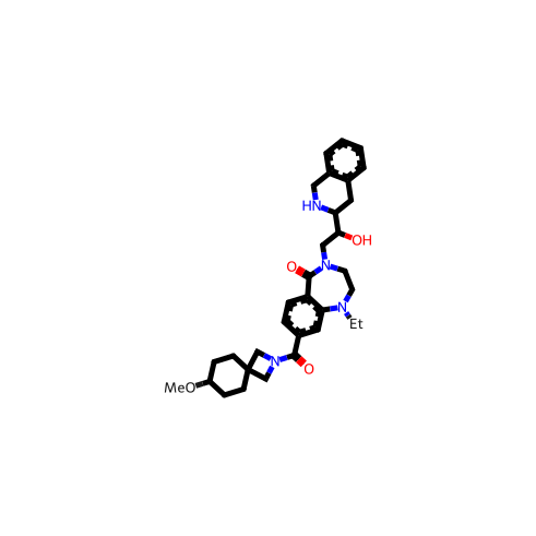 CCN1CCN(CC(O)C2Cc3ccccc3CN2)C(=O)c2ccc(C(=O)N3CC4(CCC(OC)CC4)C3)cc21